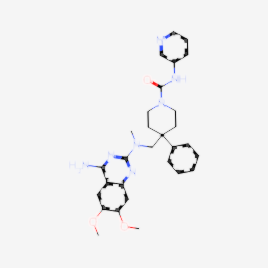 COc1cc2nc(N(C)CC3(c4ccccc4)CCN(C(=O)Nc4cccnc4)CC3)nc(N)c2cc1OC